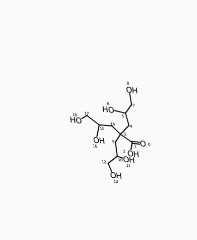 O=C(O)C(CC(O)CO)(CC(O)CO)CC(O)CO